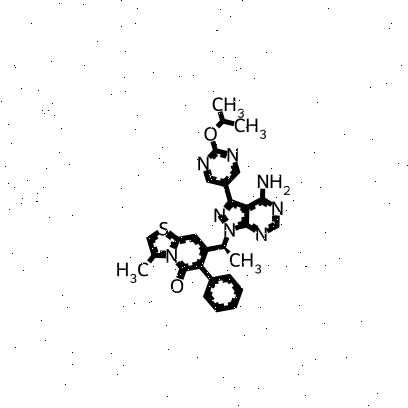 Cc1csc2cc([C@H](C)n3nc(-c4cnc(OC(C)C)nc4)c4c(N)ncnc43)c(-c3ccccc3)c(=O)n12